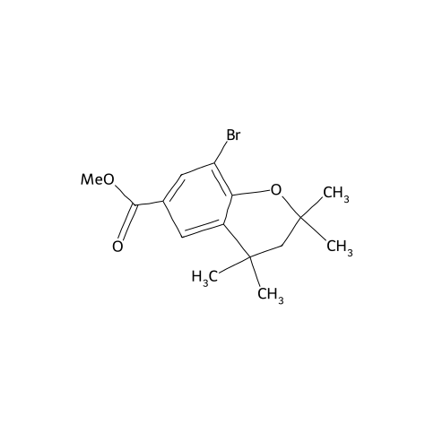 COC(=O)c1cc(Br)c2c(c1)C(C)(C)CC(C)(C)O2